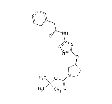 CC(C)(C)OC(=O)N1CC[C@H](Oc2nnc(NC(=O)Cc3ccccc3)s2)C1